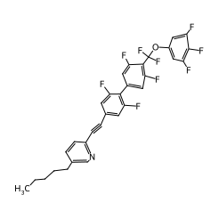 CCCCCc1ccc(C#Cc2cc(F)c(-c3cc(F)c(C(F)(F)Oc4cc(F)c(F)c(F)c4)c(F)c3)c(F)c2)nc1